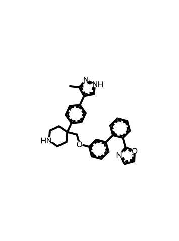 Cc1n[nH]cc1-c1ccc(C2(COc3cccc(-c4ccccc4-c4ncco4)c3)CCNCC2)cc1